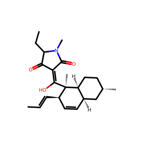 C/C=C/[C@@H]1C=C[C@@H]2C[C@@H](C)CC[C@@H]2[C@]1(C)/C(O)=C1/C(=O)C(CC)N(C)C1=O